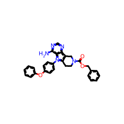 Nc1ncnc2c3c(n(-c4ccc(Oc5ccccc5)cc4)c12)CCN(C(=O)OCc1ccccc1)C3